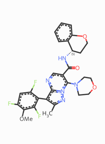 COc1c(F)cc(F)c(-c2c(C)nn3c(N4CCOCC4)c(C(=O)N[C@H]4CCOc5ccccc54)cnc23)c1F